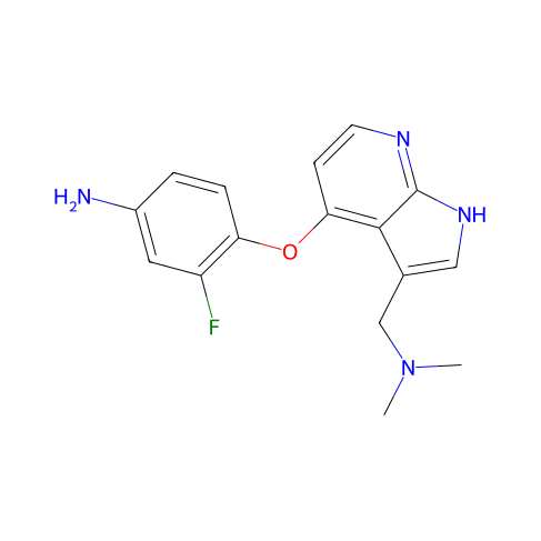 CN(C)Cc1c[nH]c2nccc(Oc3ccc(N)cc3F)c12